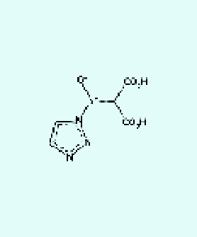 O=C(O)C(C(=O)O)[S+]([O-])n1ccnn1